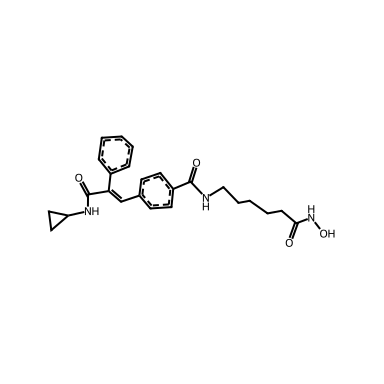 O=C(CCCCCNC(=O)c1ccc(/C=C(/C(=O)NC2CC2)c2ccccc2)cc1)NO